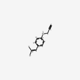 C#CCOc1ccc(C=C(C)C)cc1